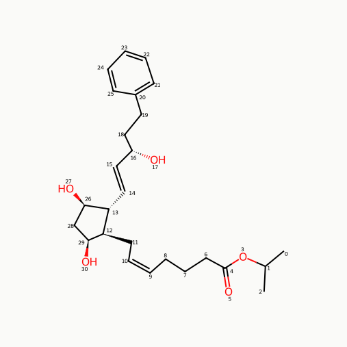 CC(C)OC(=O)CCC/C=C\C[C@@H]1[C@@H](/C=C/[C@@H](O)CCc2ccccc2)[C@H](O)C[C@@H]1O